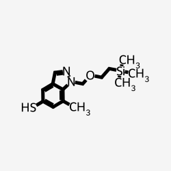 Cc1cc(S)cc2cnn(COCC[Si](C)(C)C)c12